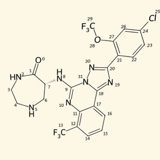 O=C1NCCNC[C@H]1Nc1nc2c(C(F)(F)F)cccc2c2nc(-c3ccc(Cl)cc3OC(F)(F)F)nn12